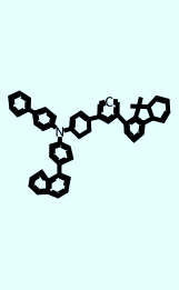 CC1(C)c2c(-c3cccc(C4=CC=C(N(c5ccc(-c6ccccc6)cc5)c5ccc(-c6cccc7ccccc67)cc5)CC4)c3)cccc2C2C=CC=CC21